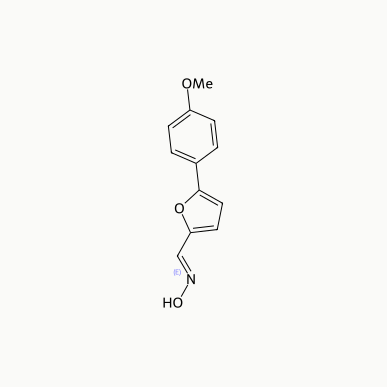 COc1ccc(-c2ccc(/C=N/O)o2)cc1